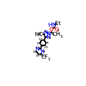 CCNC(=O)OC(C)n1nc(C#N)c(-c2ccc(-c3nccc(C(F)(F)F)n3)cc2)n1